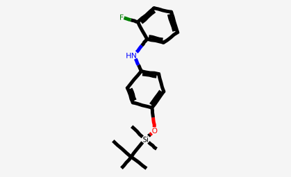 CC(C)(C)[Si](C)(C)Oc1ccc(Nc2ccccc2F)cc1